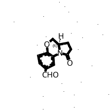 O=Cc1ccc2c(c1)N1C(=O)CC[C@@H]1CO2